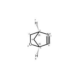 C1#[N+][C@@H]2CO[C@H]1C2